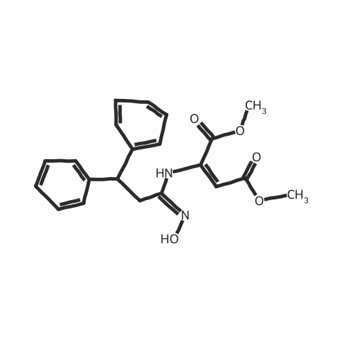 COC(=O)/C=C(/N/C(CC(c1ccccc1)c1ccccc1)=N/O)C(=O)OC